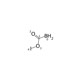 BC(=O)OI